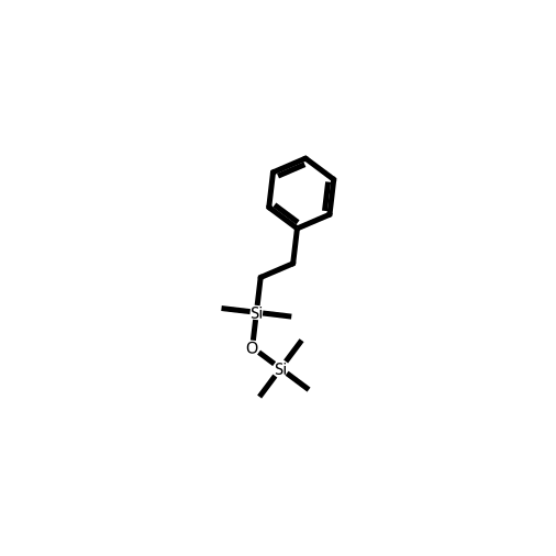 C[Si](C)(C)O[Si](C)(C)CCc1ccccc1